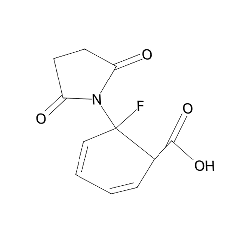 O=C(O)C1C=CC=CC1(F)N1C(=O)CCC1=O